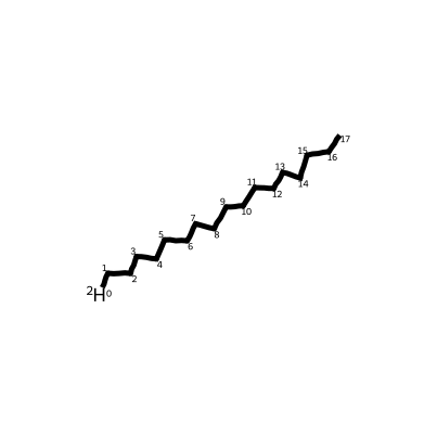 [2H]CCCCCCCCCCCCCCCCC